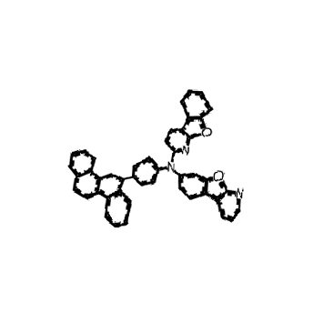 c1ccc2c(c1)ccc1c3ccccc3c(-c3ccc(N(c4ccc5c(c4)oc4ncccc45)c4ccc5c(n4)oc4ccccc45)cc3)cc21